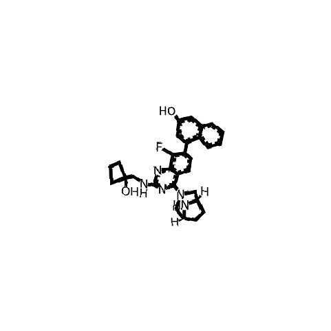 Oc1cc(-c2ccc3c(N4C[C@H]5CC[C@@H](C4)N5)nc(NCC4(O)CCC4)nc3c2F)c2ccccc2c1